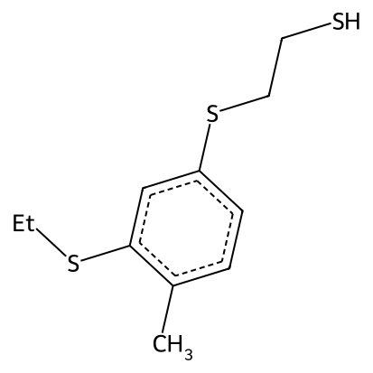 CCSc1cc(SCCS)ccc1C